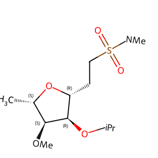 CNS(=O)(=O)CC[C@H]1O[C@@H](C)[C@H](OC)[C@@H]1OC(C)C